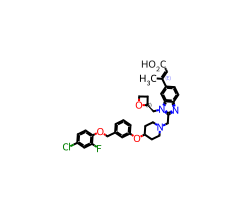 C/C(=C\C(=O)O)c1ccc2nc(CN3CCC(Oc4cccc(COc5ccc(Cl)cc5F)c4)CC3)n(C[C@@H]3CCO3)c2c1